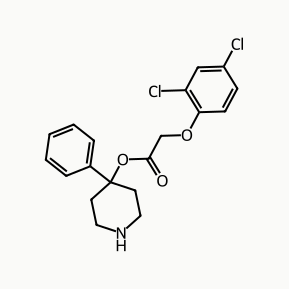 O=C(COc1ccc(Cl)cc1Cl)OC1(c2ccccc2)CCNCC1